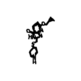 O=c1[nH]c(CSC2CCNCC2)nc2nc(OCC3CC3)ccc12